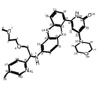 COCCOCC(Nc1ccc2c(c1)Sc1cccc(-c3cc(N4CCOCC4)cc(=O)[nH]3)c1S2)c1ccc(C)cn1